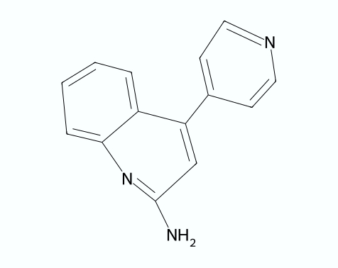 Nc1cc(-c2ccncc2)c2ccccc2n1